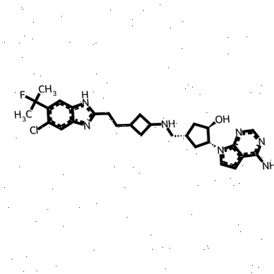 CC(C)(F)c1cc2[nH]c(CCC3CC(NC[C@@H]4C[C@@H](O)[C@H](n5ccc6c(N)ncnc65)C4)C3)nc2cc1Cl